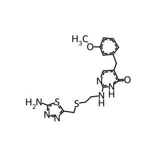 COc1cccc(Cc2cnc(NCCSCc3nnc(N)s3)[nH]c2=O)c1